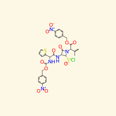 C=C(C)C(C(=O)OCc1ccc([N+](=O)[O-])cc1)N1C(=O)C(NC(=O)C(NC(=O)OCc2ccc([N+](=O)[O-])cc2)c2cccs2)C1[S+]([O-])Cl